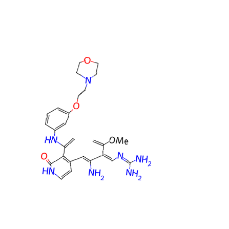 C=C(OC)C(=C\N=C(N)N)/C(N)=C/c1cc[nH]c(=O)c1C(=C)Nc1cccc(OCCN2CCOCC2)c1